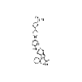 CCN(CC)C1CCN(C2CCN(c3ccc(Nc4ncc5cc6n(c5n4)C4(CCCCC4)CNC6=O)nc3)CC2)C1